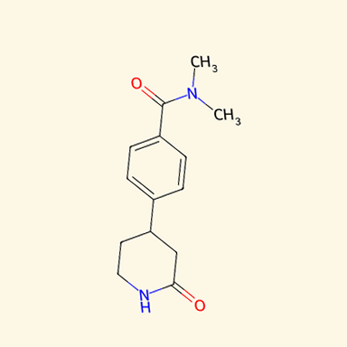 CN(C)C(=O)c1ccc(C2CCNC(=O)C2)cc1